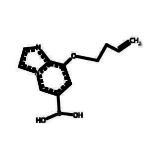 C=CCCOc1cc(B(O)O)cn2ccnc12